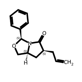 C=CC[C@H]1C[C@H]2CO[C@@H](c3ccccc3)N2C1=O